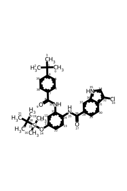 CC(C)(C)c1ccc(C(=O)Nc2cc(O[Si](C)(C)C(C)(C)C)ccc2NC(=O)c2ccc3c(Cl)c[nH]c3c2)cc1